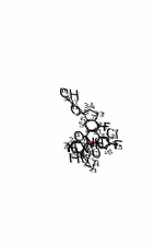 CNC(=O)c1cc2c(c(F)c1-c1c(Cl)c(F)cc3c1C[C@](c1ccccc1)([C@@H]1CCCN1)O3)CCC2OCCO